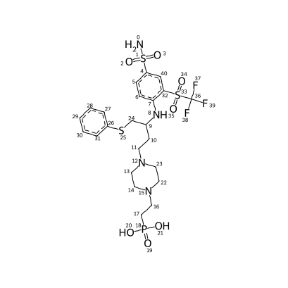 NS(=O)(=O)c1ccc(NC(CCN2CCN(CCP(=O)(O)O)CC2)CSc2ccccc2)c(S(=O)(=O)C(F)(F)F)c1